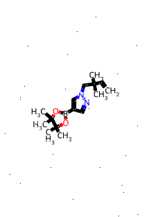 C=CC(C)(C)Cn1cc(B2OC(C)(C)C(C)(C)O2)cn1